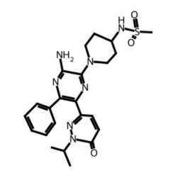 CC(C)n1nc(-c2nc(N3CCC(NS(C)(=O)=O)CC3)c(N)nc2-c2ccccc2)ccc1=O